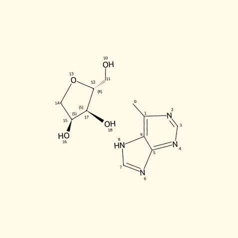 Cc1ncnc2nc[nH]c12.OC[C@H]1OC[C@H](O)[C@@H]1O